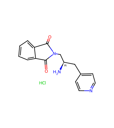 Cl.N[C@H](Cc1ccncc1)CN1C(=O)c2ccccc2C1=O